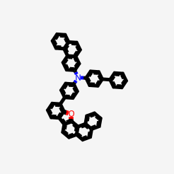 c1ccc(-c2ccc(N(c3ccc(-c4cccc5c4oc4c5ccc5ccc6ccccc6c54)cc3)c3ccc4c(ccc5ccccc54)c3)cc2)cc1